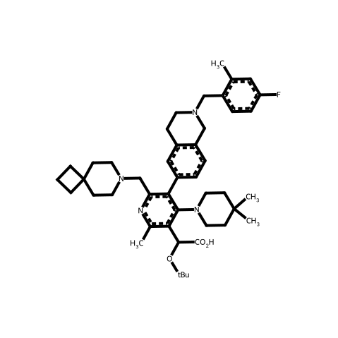 Cc1cc(F)ccc1CN1CCc2cc(-c3c(CN4CCC5(CCC5)CC4)nc(C)c(C(OC(C)(C)C)C(=O)O)c3N3CCC(C)(C)CC3)ccc2C1